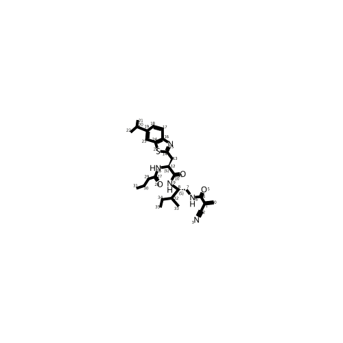 C=C(C#N)C(=O)NC[C@@H](NC(=O)[C@H](Cc1nc2ccc(C(C)C)cc2s1)NC(=O)CCC)C(C)CC